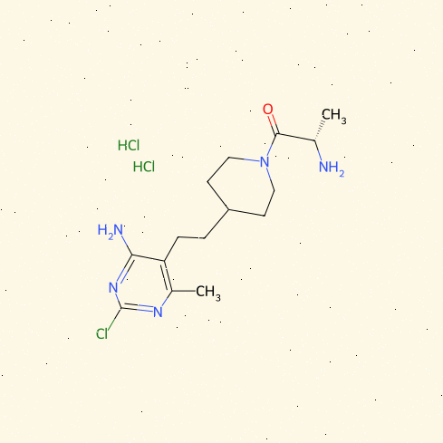 Cc1nc(Cl)nc(N)c1CCC1CCN(C(=O)[C@H](C)N)CC1.Cl.Cl